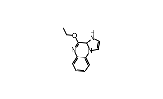 CCOC1=Nc2ccccc2N2C=CNC12